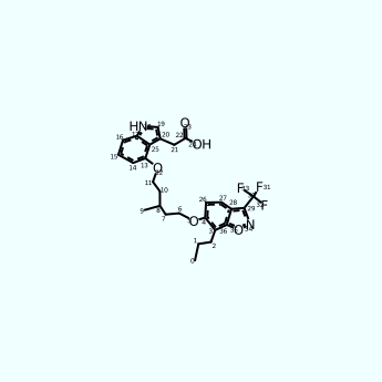 CCCc1c(OCCC(C)CCOc2cccc3[nH]cc(CC(=O)O)c23)ccc2c(C(F)(F)F)noc12